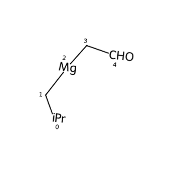 CC(C)[CH2][Mg][CH2]C=O